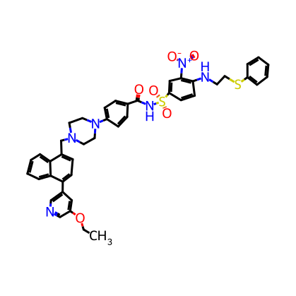 CCOc1cncc(-c2ccc(CN3CCN(c4ccc(C(=O)NS(=O)(=O)c5ccc(NCCSc6ccccc6)c([N+](=O)[O-])c5)cc4)CC3)c3ccccc23)c1